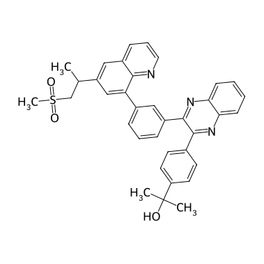 CC(CS(C)(=O)=O)c1cc(-c2cccc(-c3nc4ccccc4nc3-c3ccc(C(C)(C)O)cc3)c2)c2ncccc2c1